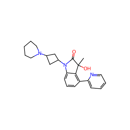 CC1(O)C(=O)N(C2CC(N3CCCCC3)C2)c2cccc(-c3ccccn3)c21